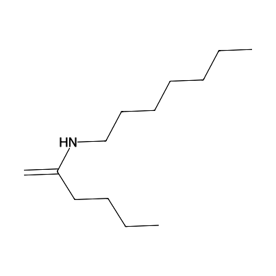 C=C(CCCC)NCCCCCCC